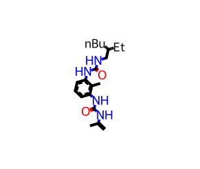 C=C(C)NC(=O)Nc1cccc(NC(=O)NCC(CC)CCCC)c1C